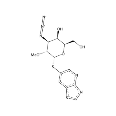 CO[C@@H]1[C@@H](N=[N+]=[N-])[C@@H](O)[C@@H](CO)O[C@@H]1Sc1cnc2ncsc2c1